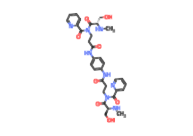 CN[C@@H](CO)C(=O)N(CCC(=O)Nc1ccc(NC(=O)CCN(C(=O)c2ccccn2)C(=O)[C@H](CO)NC)cc1)C(=O)c1ccccn1